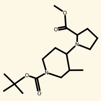 COC(=O)C1CCCN1C1CCN(C(=O)OC(C)(C)C)CC1C